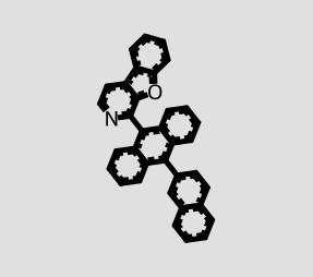 c1ccc2cc(-c3c4ccccc4c(-c4nccc5c4oc4ccccc45)c4ccccc34)ccc2c1